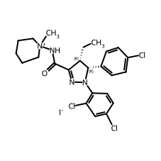 CC[C@H]1C(C(=O)N[N+]2(C)CCCCC2)=NN(c2ccc(Cl)cc2Cl)[C@H]1c1ccc(Cl)cc1.[I-]